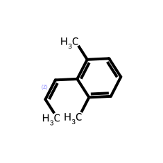 C/C=C\c1c(C)cccc1C